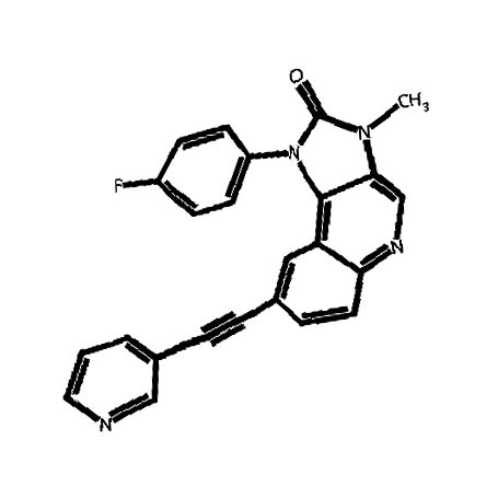 Cn1c(=O)n(-c2ccc(F)cc2)c2c3cc(C#Cc4cccnc4)ccc3ncc21